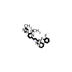 COc1nc(/C=C/c2nc3n(n2)CCC[C@H]3c2cccc(F)c2F)ccc1-n1cnc(C)c1